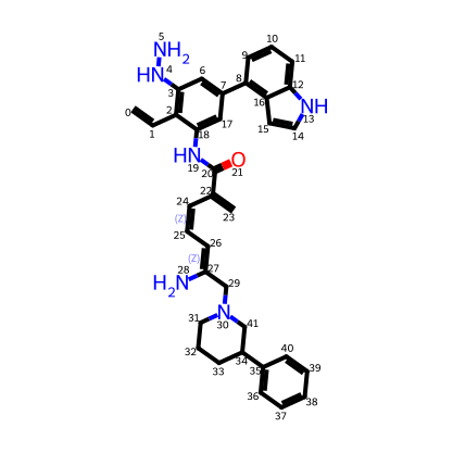 C=Cc1c(NN)cc(-c2cccc3[nH]ccc23)cc1NC(=O)C(=C)/C=C\C=C(/N)CN1CCCC(c2ccccc2)C1